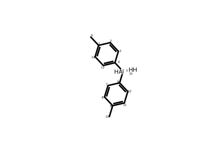 Cc1cc[c]([AlH][c]2ccc(C)cc2)cc1.[HH]